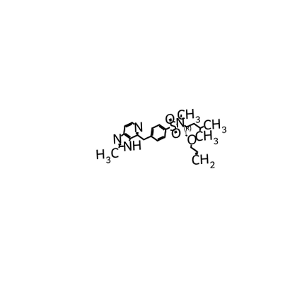 C=CCOC[C@@H](CC(C)C)N(C)S(=O)(=O)c1ccc(Cc2nccc3nc(C)[nH]c23)cc1